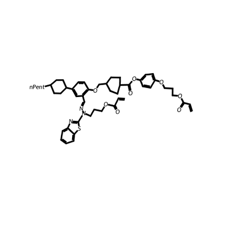 C=CC(=O)OCCCOc1ccc(OC(=O)C2CCC(COc3ccc(C4CCC(CCCCC)CC4)cc3/C=N/N(CCCOC(=O)C=C)c3nc4ccccc4s3)CC2)cc1